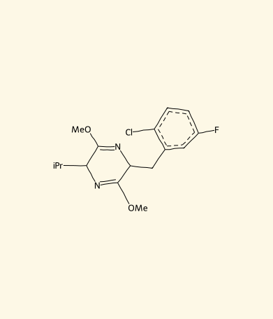 COC1=NC(C(C)C)C(OC)=NC1Cc1cc(F)ccc1Cl